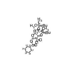 CC(C)(C)[Si](C)(C)OCC1OC(OC(=O)c2ccccc2)C(Cl)(Cl)C1O[Si](C)(C)C(C)(C)C